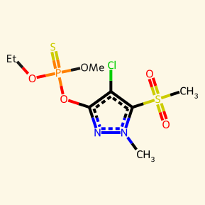 CCOP(=S)(OC)Oc1nn(C)c(S(C)(=O)=O)c1Cl